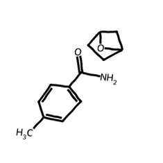 C1CC2CC1O2.Cc1ccc(C(N)=O)cc1